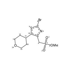 COS(=O)(=O)Cc1nc(Br)sc1C1CCOCC1